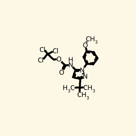 COc1cccc(-n2nc(C(C)(C)C)cc2NC(=O)OCC(Cl)(Cl)Cl)c1